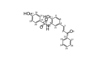 O=C(C=Cc1ccc(O)c(NS(=O)(=O)c2ccc(O)cc2)c1)c1ccccc1